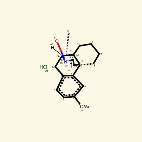 COc1ccc2c(c1)[C@]13CCCC[C@@H]1[C@H](C2)[N@@+](C)([O-])CC3.Cl